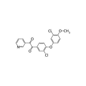 COc1ccc(Oc2ccc(C(=O)C(=O)c3cccnc3)cc2Cl)cc1Cl